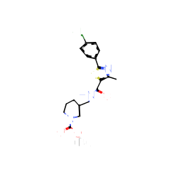 Cc1nc(-c2ccc(Cl)cc2)sc1C(=O)NCC1CCCN(C(=O)OC(C)(C)C)C1